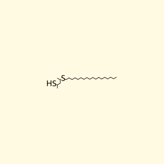 CCCCCCCCCCCCCCCCCCSC(C)CC(C)S